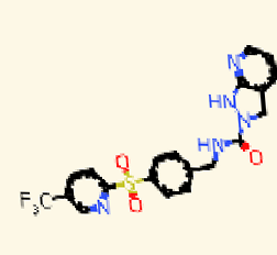 O=C(NCc1ccc(S(=O)(=O)c2ccc(C(F)(F)F)cn2)cc1)N1Cc2cccnc2N1